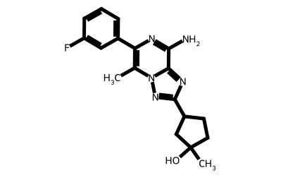 Cc1c(-c2cccc(F)c2)nc(N)c2nc(C3CCC(C)(O)C3)nn12